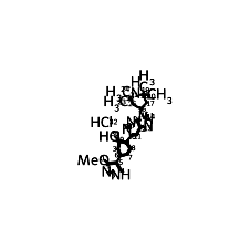 COc1n[nH]cc1-c1ccc(-c2cc3nnn(C4CC(C)(C)NC(C)(C)C4)c3nn2)c(O)c1.Cl